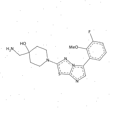 COc1c(F)cccc1-c1cnc2sc(N3CCC(O)(CN)CC3)nn12